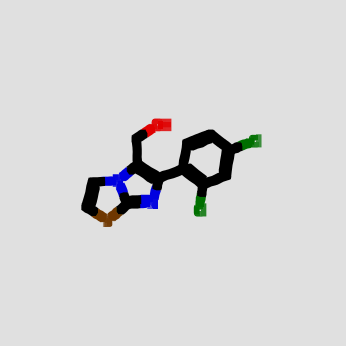 OCc1c(-c2ccc(Cl)cc2Cl)nc2sccn12